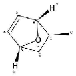 C[C@H]1C[C@@H]2C=C[C@H]1O2